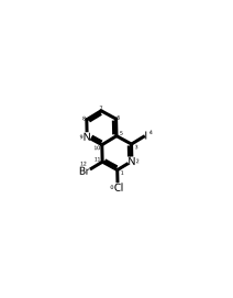 Clc1nc(I)c2cccnc2c1Br